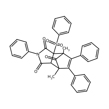 CC12C(=O)C(C)(C(c3ccccc3)=C1c1ccccc1)C1(S(=O)(=O)c3ccccc3)C(=O)N(c3ccccc3)C(=O)C21